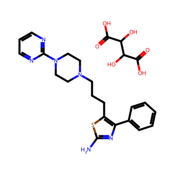 Nc1nc(-c2ccccc2)c(CCCN2CCN(c3ncccn3)CC2)s1.O=C(O)C(O)C(O)C(=O)O